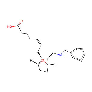 O=C(O)CCC/C=C\C[C@H]1[C@@H](CNCc2ccccc2)[C@@H]2CC[C@H]1O2